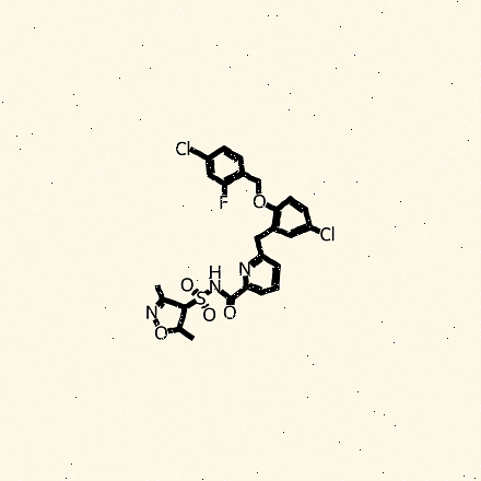 CC1=NOC(C)C1S(=O)(=O)NC(=O)c1cccc(Cc2cc(Cl)ccc2OCc2ccc(Cl)cc2F)n1